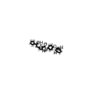 CN1[C@@H]2CC[C@H]1CC(Oc1ccc(-n3cnc4cc(CC(O)C5CCCC5)sc4c3=O)cc1)C2